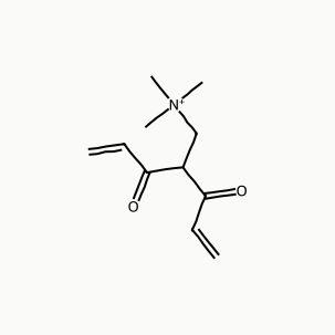 C=CC(=O)C(C[N+](C)(C)C)C(=O)C=C